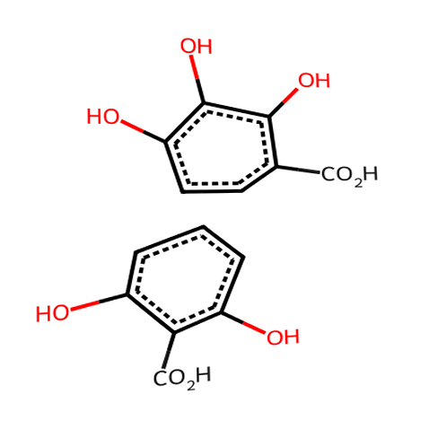 O=C(O)c1c(O)cccc1O.O=C(O)c1ccc(O)c(O)c1O